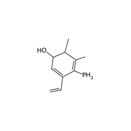 C=CC1=CC(O)C(C)C(C)=C1P